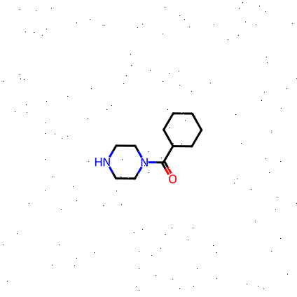 O=C([C]1CCCCC1)N1CCNCC1